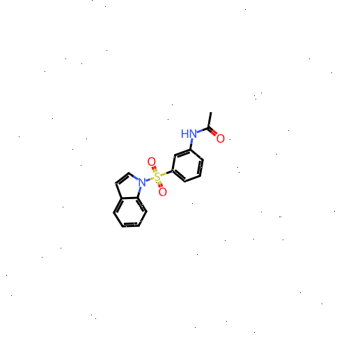 CC(=O)Nc1cccc(S(=O)(=O)n2ccc3ccccc32)c1